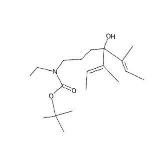 C/C=C(\C)C(O)(CCCN(CC)C(=O)OC(C)(C)C)/C(C)=C/C